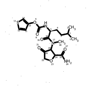 CC(C)CC[C@H](NC(=O)Oc1ccsc1)C(=O)N(C)C1C(=O)COC1C(N)=O